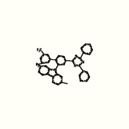 Cc1ccc2c3ccc(C)cc3n(-c3cc(-c4nc(-c5ccccc5)nc(-c5ccccc5)n4)ccc3-c3cc(C(F)(F)F)cc(C(F)(F)F)c3)c2c1